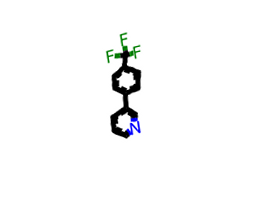 FC(F)(F)c1ccc(-c2cccnc2)cc1